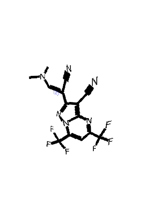 CN(C)/C=C(\C#N)c1nn2c(C(F)(F)F)cc(C(F)(F)F)nc2c1C#N